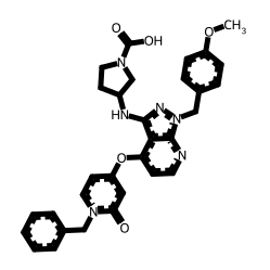 COc1ccc(Cn2nc(NC3CCN(C(=O)O)C3)c3c(Oc4ccn(Cc5ccccc5)c(=O)c4)ccnc32)cc1